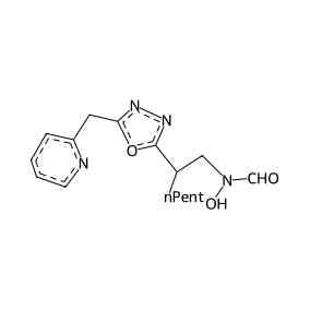 CCCCCC(CN(O)C=O)c1nnc(Cc2ccccn2)o1